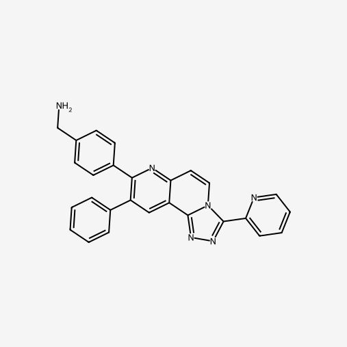 NCc1ccc(-c2nc3ccn4c(-c5ccccn5)nnc4c3cc2-c2ccccc2)cc1